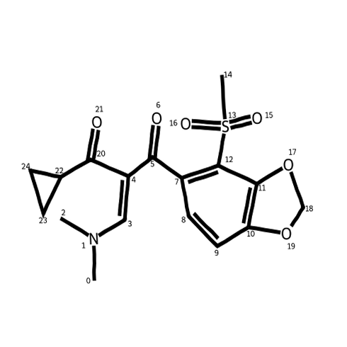 CN(C)C=C(C(=O)c1ccc2c(c1S(C)(=O)=O)OCO2)C(=O)C1CC1